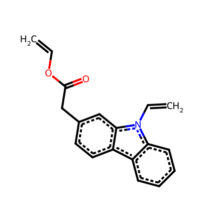 C=COC(=O)Cc1ccc2c3ccccc3n(C=C)c2c1